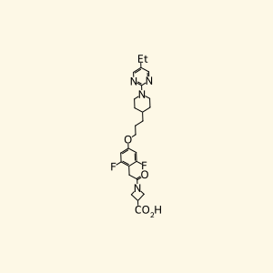 CCc1cnc(N2CCC(CCCOc3cc(F)c(CC(=O)N4CC(C(=O)O)C4)c(F)c3)CC2)nc1